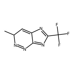 CC1C=C2N=C(C(F)(F)F)N=C2N=N1